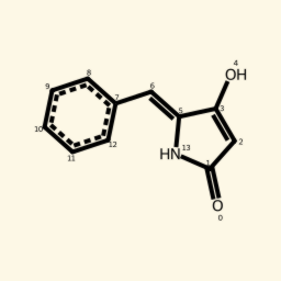 O=C1C=C(O)C(=Cc2ccccc2)N1